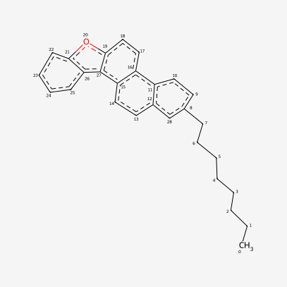 CCCCCCCCc1ccc2c(ccc3c2ccc2oc4ccccc4c23)c1